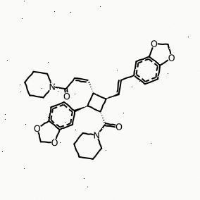 O=C(/C=C\[C@@H]1[C@@H](/C=C/c2ccc3c(c2)OCO3)[C@H](C(=O)N2CCCCC2)[C@H]1c1ccc2c(c1)OCO2)N1CCCCC1